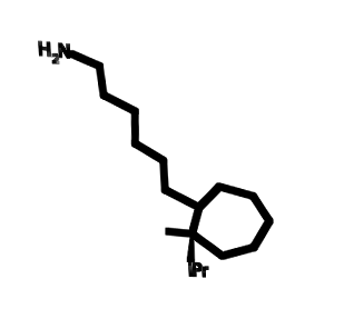 CC(C)[C@]1(C)CCCCCC1CCCCCCN